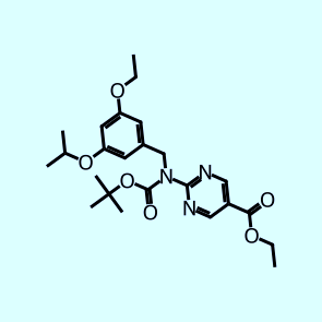 CCOC(=O)c1cnc(N(Cc2cc(OCC)cc(OC(C)C)c2)C(=O)OC(C)(C)C)nc1